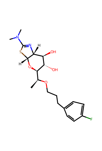 C[C@H](OCCCc1ccc(F)cc1)[C@H]1O[C@@H]2SC(N(C)C)=N[C@@H]2[C@@H](O)[C@@H]1O